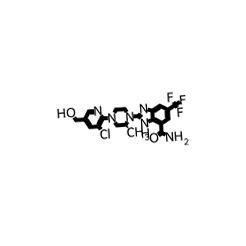 C[C@@H]1CN(c2ncc(CO)cc2Cl)CCN1c1nc2cc(C(F)(F)F)cc(C(N)=O)c2[nH]1